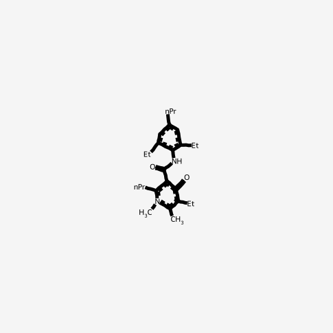 CCCc1cc(CC)c(NC(=O)c2c(CCC)n(C)c(C)c(CC)c2=O)c(CC)c1